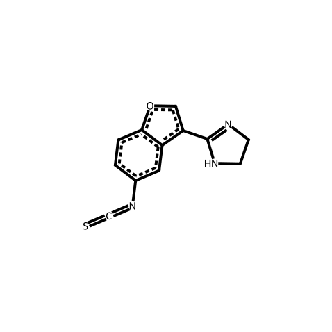 S=C=Nc1ccc2occ(C3=NCCN3)c2c1